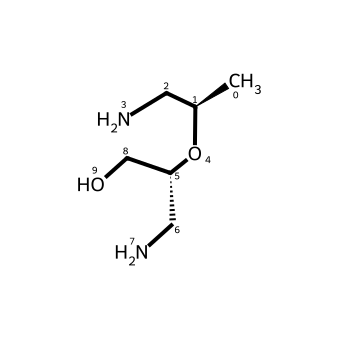 C[C@H](CN)O[C@H](CN)CO